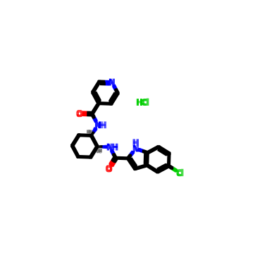 Cl.O=C(N[C@@H]1CCCC[C@@H]1NC(=O)c1cc2cc(Cl)ccc2[nH]1)c1ccncc1